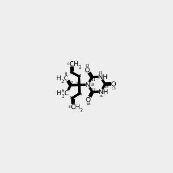 C=CCC(CC=C)(C(=C)C)n1c(=O)[nH]c(=O)[nH]c1=O